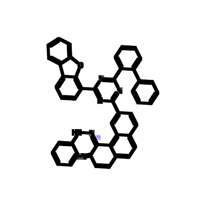 N=C1C=Cc2ccc3ccc(-c4nc(-c5ccccc5-c5ccccc5)nc(-c5cccc6c5oc5ccccc56)n4)cc3c2/C1=N/Nc1ccccc1